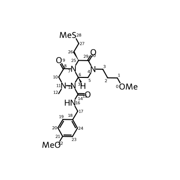 COCCCN1C[C@H]2N(C(=O)CN(C)N2C(=O)NCc2ccc(OC)cc2)[C@@H](CCSC)C1=O